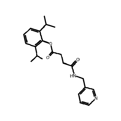 CC(C)c1cccc(C(C)C)c1OC(=O)CCC(=O)NCc1cccnc1